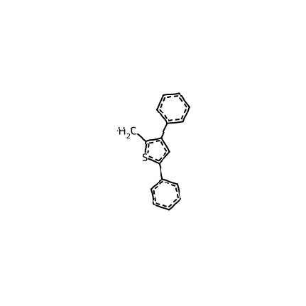 [CH2]c1sc(-c2ccccc2)cc1-c1ccccc1